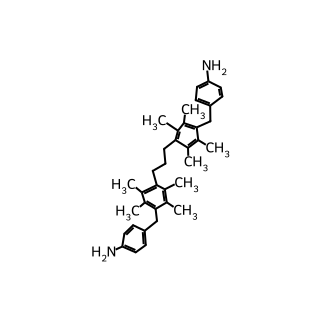 Cc1c(C)c(Cc2ccc(N)cc2)c(C)c(C)c1CCCc1c(C)c(C)c(Cc2ccc(N)cc2)c(C)c1C